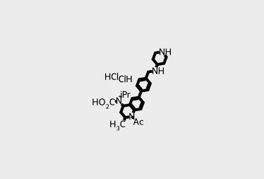 CC(=O)N1c2ccc(-c3ccc(CNC4CCNCC4)cc3)cc2C(N(C(=O)O)C(C)C)CC1C.Cl.Cl